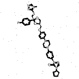 Cn1cnnc1SC[C@@]1(c2ccc(F)cc2)OC[C@@H](COc2ccc(N3CCN(c4ccc(-n5ncn(C6CCCC6)c5=O)cc4)CC3)cc2)O1